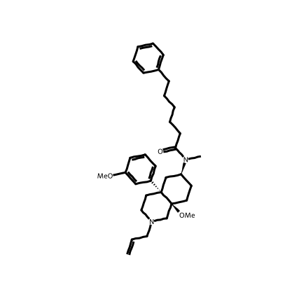 C=CCN1CC[C@@]2(c3cccc(OC)c3)C[C@@H](N(C)C(=O)CCCCCc3ccccc3)CC[C@]2(OC)C1